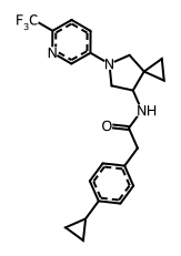 O=C(Cc1ccc(C2CC2)cc1)NC1CN(c2ccc(C(F)(F)F)nc2)CC12CC2